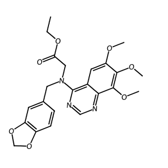 CCOC(=O)CN(Cc1ccc2c(c1)OCO2)c1ncnc2c(OC)c(OC)c(OC)cc12